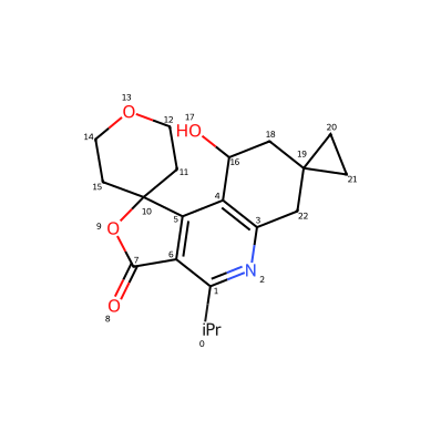 CC(C)c1nc2c(c3c1C(=O)OC31CCOCC1)C(O)CC1(CC1)C2